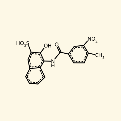 Cc1ccc(C(=O)Nc2c(O)c(S(=O)(=O)O)cc3ccccc23)cc1[N+](=O)[O-]